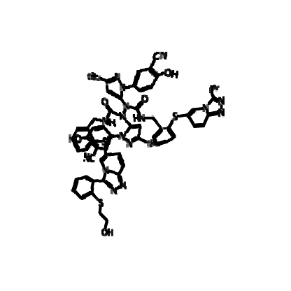 CC(C)c1nnc2ccc(Sc3ccccc3CNC(=O)N(c3cc(C(C)(C)C)nn3-c3ccc(O)c(C#N)c3)N(C(=O)NCc3ccccc3Sc3ccc4nnc(-c5ccccc5SCCO)n4c3)c3cc(C(C)(C)C)nn3-c3ccc(O)c(C#N)c3)cn12